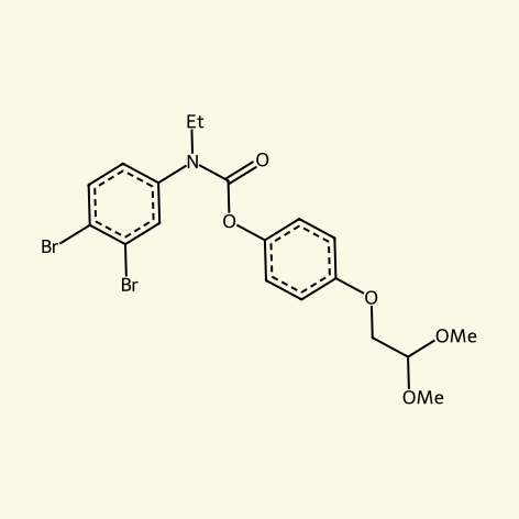 CCN(C(=O)Oc1ccc(OCC(OC)OC)cc1)c1ccc(Br)c(Br)c1